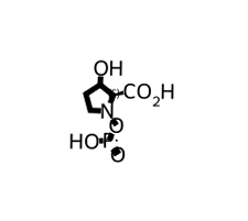 O=C(O)[C@@H]1C(O)CCN1O[P](=O)O